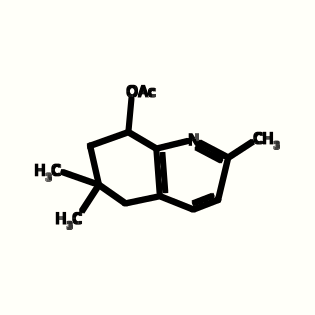 CC(=O)OC1CC(C)(C)Cc2ccc(C)nc21